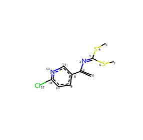 C=C(N=C(SC)SC)c1ccc(Cl)nc1